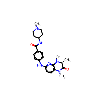 CC(C)N1c2nc(Nc3ccc(C(=O)NC4CCN(C)CC4)cc3)ccc2N(C)C(=O)[C@H]1C